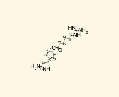 N=C(N)C=Cc1ccc(OC(=O)CCCCCNC(=N)N)cc1